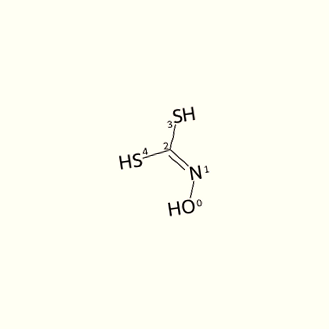 ON=C(S)S